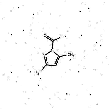 Cc1cc(C)n(C(=O)Cl)n1